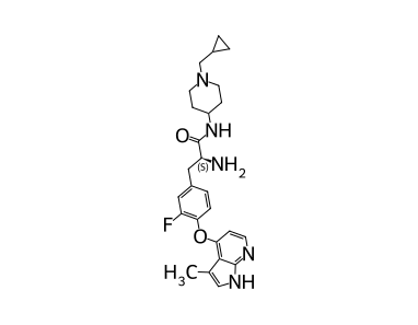 Cc1c[nH]c2nccc(Oc3ccc(C[C@H](N)C(=O)NC4CCN(CC5CC5)CC4)cc3F)c12